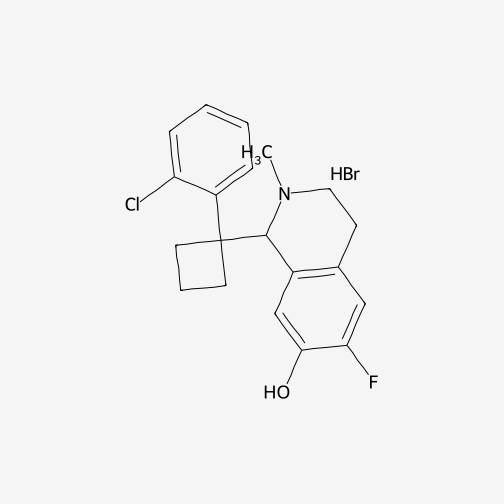 Br.CN1CCc2cc(F)c(O)cc2C1C1(c2ccccc2Cl)CCC1